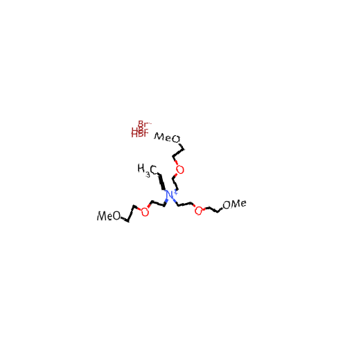 Br.Br.CC=C[N+](CCOCCOC)(CCOCCOC)CCOCCOC.[Br-]